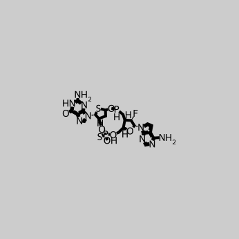 Nc1nc2c(ncn2[C@@H]2SC3C[C@H]2OP(O)(=S)OC[C@H]2O[C@@H](n4ccc5c(N)ncnc54)[C@@H](F)[C@@H]2CPO3)c(=O)[nH]1